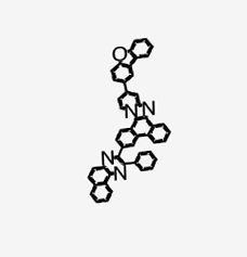 c1ccc(-c2nc3c(ccc4ccccc43)nc2-c2ccc3c(c2)c2ccccc2c2nc4cc(-c5ccc6oc7ccccc7c6c5)ccn4c32)cc1